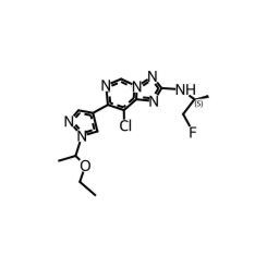 CCOC(C)n1cc(-c2ncn3nc(N[C@@H](C)CF)nc3c2Cl)cn1